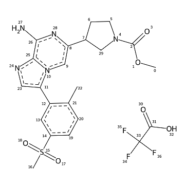 COC(=O)N1CCC(c2cn3c(-c4cc(S(C)(=O)=O)ccc4C)cnc3c(N)n2)C1.O=C(O)C(F)(F)F